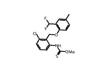 COC(=S)Nc1cccc(Cl)c1COc1ccc(C)cc1C(F)F